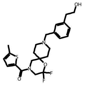 Cc1ccc(C(=O)N2CC(F)(F)OC3(CCN(Cc4cccc(CCO)c4)CC3)C2)s1